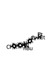 CCCCc1nc(-c2ccc(OCCCN(CC)CC)cc2)nn1-c1ccc(-c2ccc(Cl)cc2)cc1